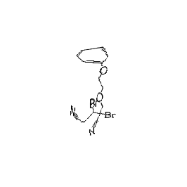 N#CCC(Br)C(Br)(C#N)COCCOc1ccccc1